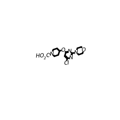 O=C(O)N1CCC(Oc2cc(Cl)nc(N3CCOCC3)n2)CC1